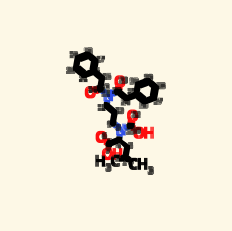 CC(C)C[C@@H](C(=O)O)N(CCCN(C(=O)Cc1ccccc1)C(=O)Cc1ccccc1)C(=O)O